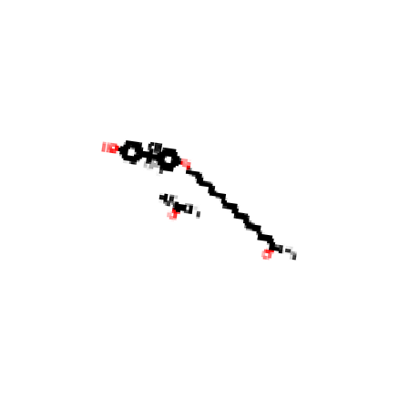 CC(=O)CCCCCCCCCCCCCCOc1ccc(C(C)(C)c2ccc(O)cc2)cc1.CC(C)=O